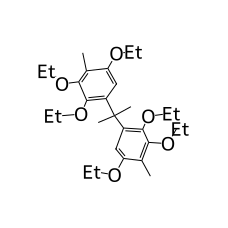 CCOc1cc(C(C)(C)c2cc(OCC)c(C)c(OCC)c2OCC)c(OCC)c(OCC)c1C